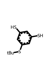 CC(C)(C)Sc1cc(S)cc(S)c1